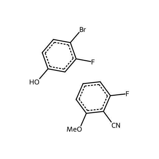 COc1cccc(F)c1C#N.Oc1ccc(Br)c(F)c1